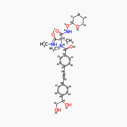 CNC(=O)[C@@](C)(C(=O)NOC1CCCCO1)N(C)C(=O)c1ccc(C#Cc2ccc(C(O)CO)cc2)cc1